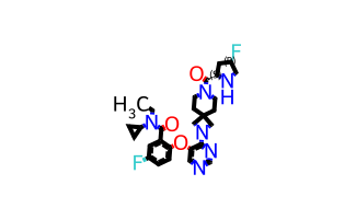 CCN(C(=O)c1cc(F)ccc1Oc1cncnc1N1CC2(CCN(C(=O)[C@@H]3C[C@@H](F)CN3)CC2)C1)C1CC1